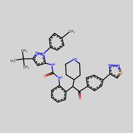 Cc1ccc(-n2nc(C(C)(C)C)cc2NC(=O)Nc2ccccc2C(C(=O)c2ccc(-c3csnn3)cc2)C2CCNCC2)cc1